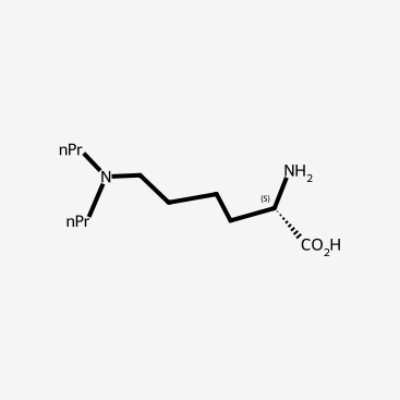 CCCN(CCC)CCCC[C@H](N)C(=O)O